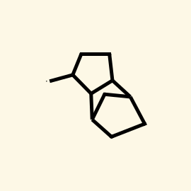 [CH2]C1CCC2C3CCC(C3)C12